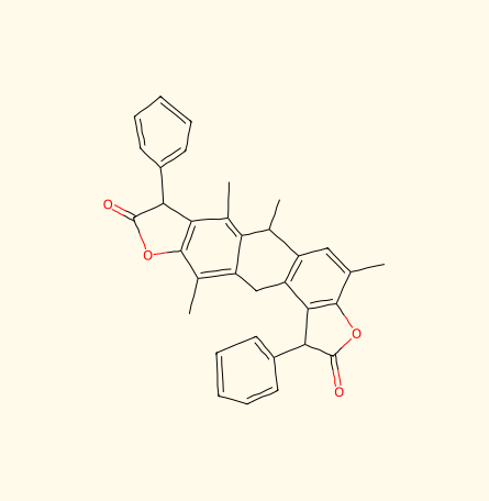 Cc1cc2c(c3c1OC(=O)C3c1ccccc1)Cc1c(C)c3c(c(C)c1C2C)C(c1ccccc1)C(=O)O3